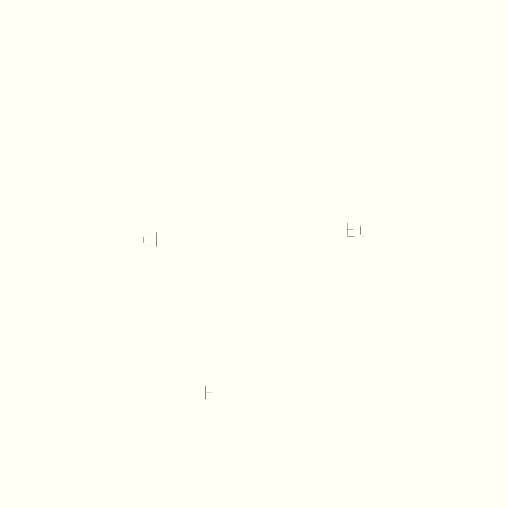 CCc1ccc(F)cc1-c1ccc[c]c1Cl